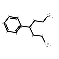 CCC[C](CCC)c1ccccc1